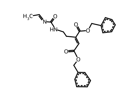 CC=NC(=O)NCC/C(=C\C(=O)OCc1ccccc1)C(=O)OCc1ccccc1